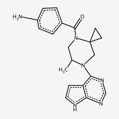 CC1CN(C(=O)c2ccc(N)cc2)C2(CC2)CN1c1ncnc2[nH]ccc12